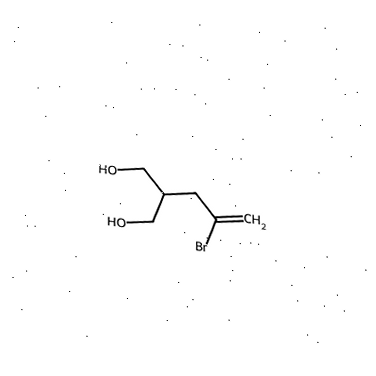 C=C(Br)CC(CO)CO